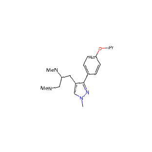 CNCC(Cc1cn(C)nc1-c1ccc(OC(C)C)cc1)NC